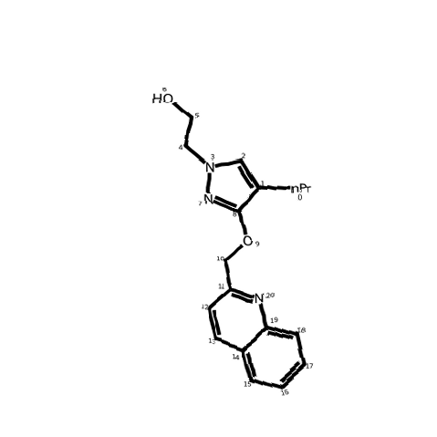 CCCc1cn(CCO)nc1OCc1ccc2ccccc2n1